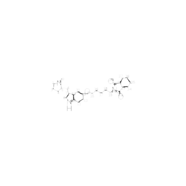 CN1CCC[C@H]1Cc1c[nH]c2ccc(OCCCCCN3C(=O)c4ccccc4C3=O)cc12